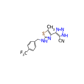 Cc1sc(NCc2ccc(C(F)(F)F)cc2)nc1-c1nn[nH]c1C#N